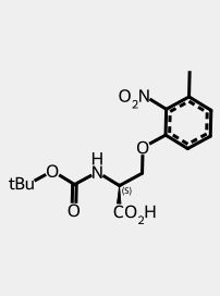 Cc1cccc(OC[C@H](NC(=O)OC(C)(C)C)C(=O)O)c1[N+](=O)[O-]